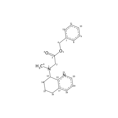 CN(CC(=O)OCc1ccccc1)C1CCCc2cccnc21